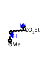 CCOC(=O)CC(C=CCCCCc1cccc(NCc2ccc(OC)cc2)n1)c1cncnc1